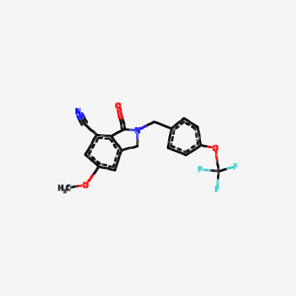 COc1cc(C#N)c2c(c1)CN(Cc1ccc(OC(F)(F)F)cc1)C2=O